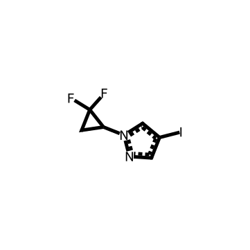 FC1(F)CC1n1cc(I)cn1